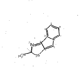 NC1N=C2C(=Cc3ccccc32)S1